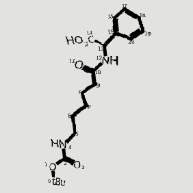 CC(C)(C)OC(=O)NCCCCCC(=O)N[C@@H](C(=O)O)c1ccccc1